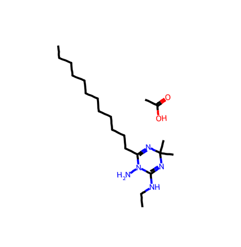 CC(=O)O.CCCCCCCCCCCCC1=NC(C)(C)N=C(NCC)N1N